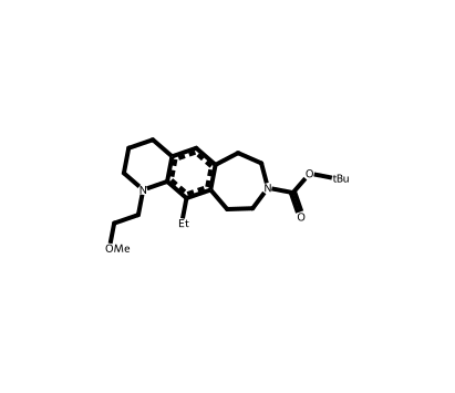 CCc1c2c(cc3c1N(CCOC)CCC3)CCN(C(=O)OC(C)(C)C)CC2